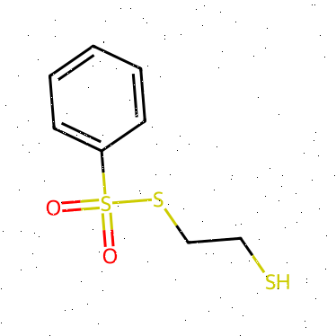 O=S(=O)(SCCS)c1ccccc1